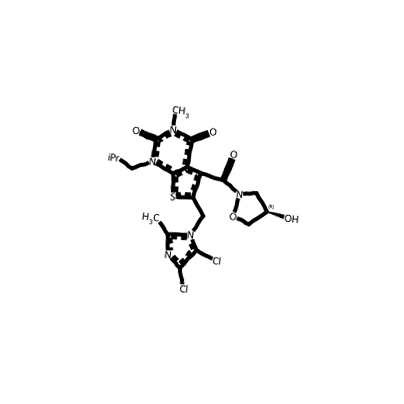 Cc1nc(Cl)c(Cl)n1Cc1sc2c(c1C(=O)N1C[C@@H](O)CO1)c(=O)n(C)c(=O)n2CC(C)C